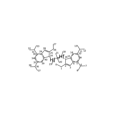 CCC1=Cc2c(C(C)C)cc(C(C)C)cc2[CH]1[Hf]([CH3])[C](C)(C)[Hf]([CH3])[CH]1C(CC)=Cc2c(C(C)C)cc(C(C)C)cc21